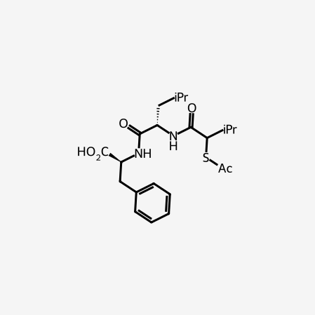 CC(=O)SC(C(=O)N[C@@H](CC(C)C)C(=O)N[C@@H](Cc1ccccc1)C(=O)O)C(C)C